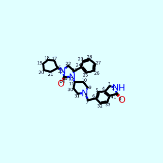 O=C1NCc2cc(CN3CCC(N4C(=O)N(C5CCCCC5)CC4c4ccccc4)CC3)ccc21